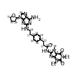 CCn1c(=O)c2c(nc(NC(=O)CCc3ccc(CCNc4nc(N)c5ncn(C6CCCO6)c5n4)cc3)n2C)n(CC)c1=O